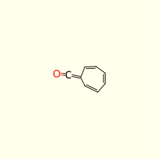 O=C=C1C=CC=CC=C1